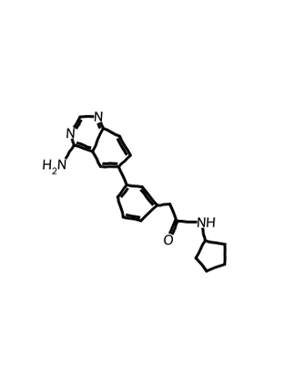 Nc1ncnc2ccc(-c3cccc(CC(=O)NC4CCCC4)c3)cc12